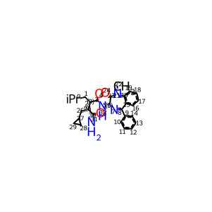 CC(C)C[C@@H](C(=O)N[C@H]1N=C(c2ccccc2)c2ccccc2N(C)C1=O)[C@H](CC1CC1)C(N)=O